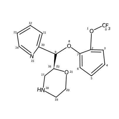 FC(F)(F)Oc1ccccc1OC(c1ccccn1)[C@@H]1CNCCO1